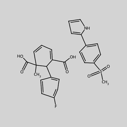 CC1(C(=O)O)C=CC=C(C(=O)O)C1c1ccc(F)cc1.CS(=O)(=O)c1ccc(-c2ccc[nH]2)cc1